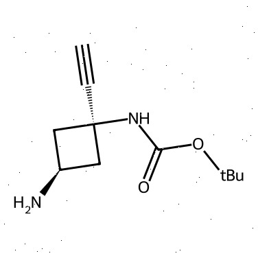 C#C[C@]1(NC(=O)OC(C)(C)C)C[C@@H](N)C1